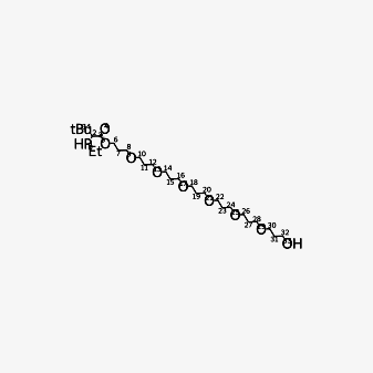 CCPC(C(=O)OCCCOCCCOCCCOCCCOCCCOCCCOCCCO)C(C)(C)C